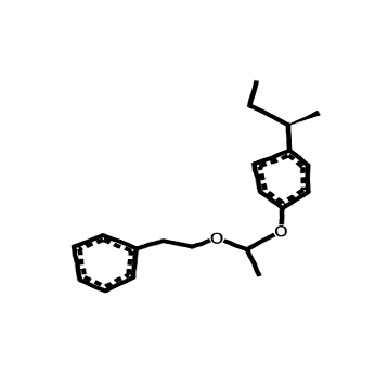 CC[C@@H](C)c1ccc(OC(C)OCCc2ccccc2)cc1